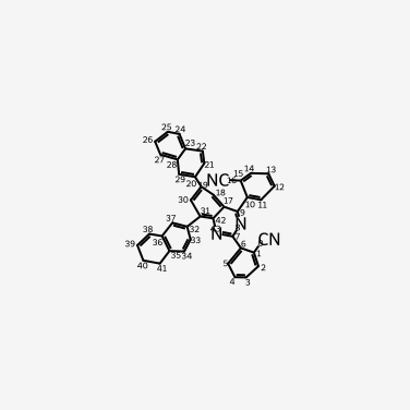 N#Cc1ccccc1-c1nc(-c2ccccc2C#N)c2cc(-c3ccc4ccccc4c3)cc(-c3ccc4c(c3)C=CCC4)c2n1